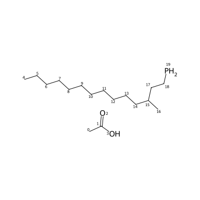 CC(=O)O.CCCCCCCCCCCC(C)CCP